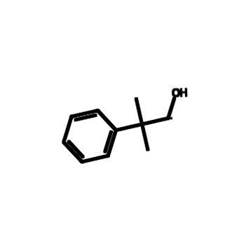 CC(C)([CH]O)c1ccccc1